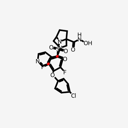 O=C(c1ccncc1)N1CC2CCC(C(=O)NO)(C1)N2S(=O)(=O)c1cc(F)c(Oc2ccc(Cl)cc2)c(F)c1